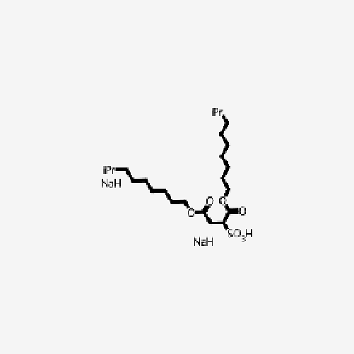 CC(C)CCCCCCCOC(=O)CC(C(=O)OCCCCCCCC(C)C)S(=O)(=O)O.[NaH].[NaH]